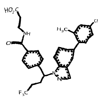 Cc1cc(Cl)ccc1-c1ccc2c(cnn2C(CCC(F)(F)F)c2ccc(C(=O)NCCC(=O)O)cc2)c1